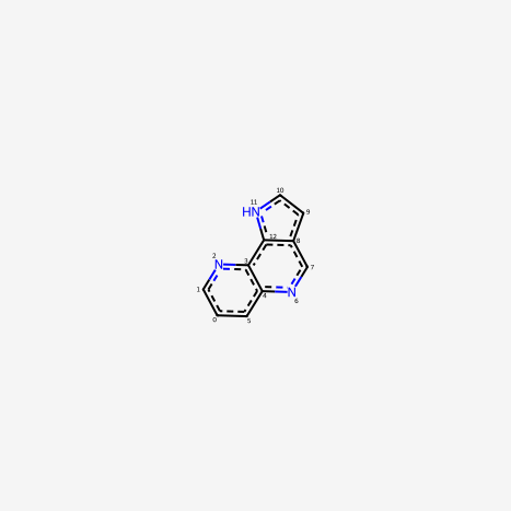 c1cnc2c(c1)ncc1cc[nH]c12